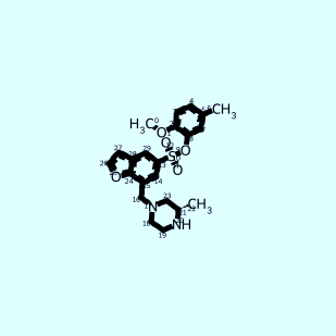 COc1ccc(C)cc1OS(=O)(=O)c1cc(CN2CCN[C@@H](C)C2)c2occc2c1